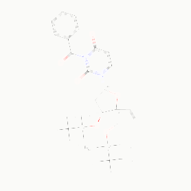 C=C[C@]1(CO[Si](C)(C)C(C)(C)C)O[C@@H](n2ccc(=O)n(C(=O)c3ccccc3)c2=O)C[C@@H]1O[Si](C)(C)C(C)(C)C